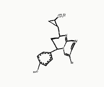 CCOC(=O)C1CC1C1CC(c2ccc(OC)cc2)N2C=C(Br)C=NC2=N1